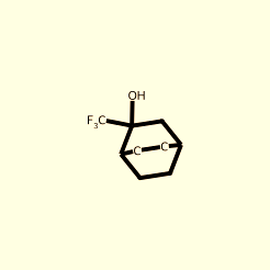 OC1(C(F)(F)F)CC2CCC1CC2